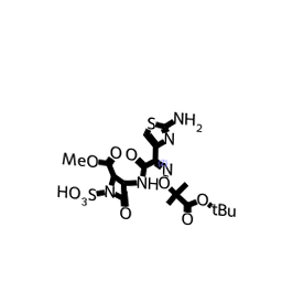 COC(=O)C1C(NC(=O)/C(=N\OC(C)(C)C(=O)OC(C)(C)C)c2csc(N)n2)C(=O)N1S(=O)(=O)O